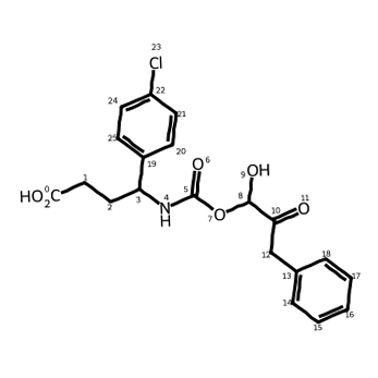 O=C(O)CCC(NC(=O)OC(O)C(=O)Cc1ccccc1)c1ccc(Cl)cc1